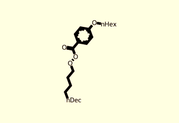 [CH2]CCCCCCCCCCCCCOOC(=O)c1ccc(OCCCCCC)cc1